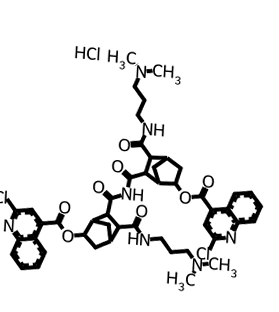 CN(C)CCCNC(=O)C1C2CC(OC(=O)c3cc(Cl)nc4ccccc34)C(C2)C1C(=O)NC(=O)C1C2CC(CC2OC(=O)c2cc(Cl)nc3ccccc23)C1C(=O)NCCCN(C)C.Cl